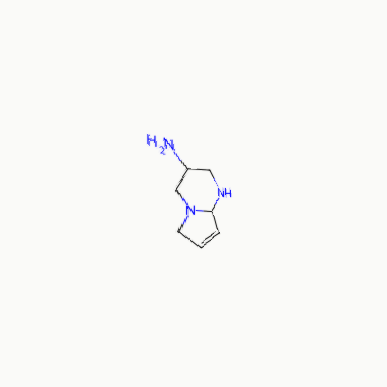 NC1CNC2C=CCN2C1